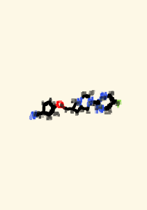 N#Cc1ccc(OCC2CC3CN(c4ncc(F)cn4)CCN3C2)cc1